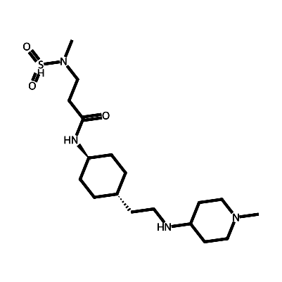 CN1CCC(NCC[C@H]2CC[C@H](NC(=O)CCN(C)[SH](=O)=O)CC2)CC1